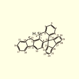 c1ccc2c(c1)[SiH2]c1c(ccc3c1sc1ccccc13)C21c2ccccc2-c2ccccc21